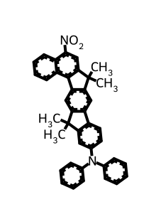 CC1(C)c2cc(N(c3ccccc3)c3ccccc3)ccc2-c2cc3c(cc21)-c1c(cc([N+](=O)[O-])c2ccccc12)C3(C)C